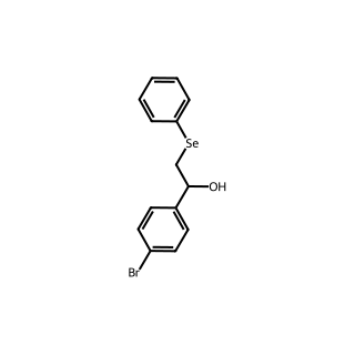 OC(C[Se]c1ccccc1)c1ccc(Br)cc1